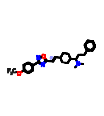 CN(C)C(CCc1ccccc1)C1CCC(/C=C/c2nc(-c3ccc(OC(F)(F)F)cc3)no2)CC1